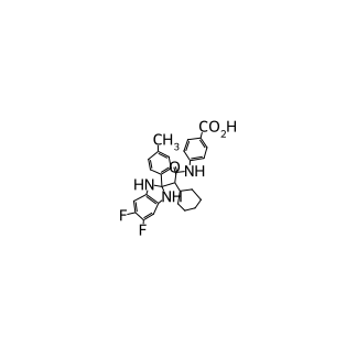 Cc1ccc(C2(C(C(=O)Nc3ccc(C(=O)O)cc3)C3CCCCC3)Nc3cc(F)c(F)cc3N2)cc1